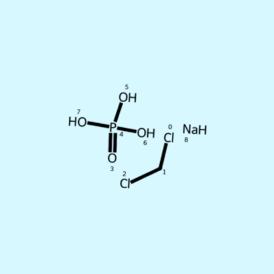 ClCCl.O=P(O)(O)O.[NaH]